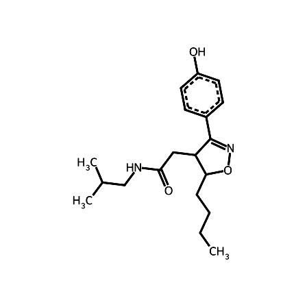 CCCCC1ON=C(c2ccc(O)cc2)C1CC(=O)NCC(C)C